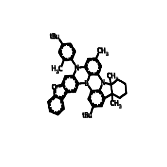 Cc1cc2c3c(c1)N1c4c(cc(C(C)(C)C)cc4C4(C)CCCCC14C)B3c1cc3c(cc1N2c1ccc(C(C)(C)C)cc1C)oc1ccccc13